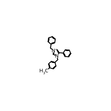 Cc1ccc(Cn2c[n+](Cc3ccccc3)cc2-c2ccccc2)cc1